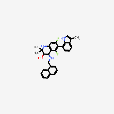 Cc1c[nH]c2c(-c3c(F)cc4c(c3F)C(NCc3cccc5ccccc35)C(O)C(C)(C)N4)cccc12